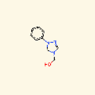 OCN1C=NN(c2ccccc2)C1